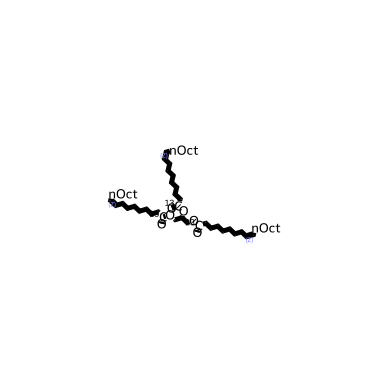 CCCCCCCC/C=C\CCCCCCC[13C](=O)OCC(CO[13C](=O)CCCCCCC/C=C\CCCCCCCC)O[13C](=O)CCCCCCC/C=C\CCCCCCCC